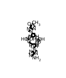 Cn1cnc2c(ncn2[C@@H]2C[C@@H]3OP(=O)(O)O[C@H]4[C@@H](F)[C@H](n5cnc6c(N)ncnc65)O[C@@H]4COC(O)O[C@@H]2[C@@H]3O)c1=O